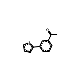 CC(=O)c1cccc(-c2cccs2)c1